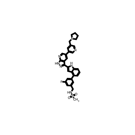 CS(=O)(=O)NCc1cc(F)cc(-c2cccc3[nH]c(-c4n[nH]c5ncc(-c6cncc(CN7CCCC7)c6)cc45)cc23)c1